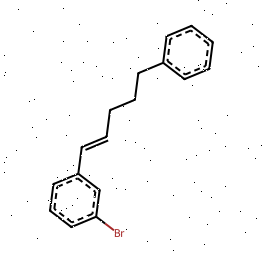 Brc1cccc(C=CCCCc2ccccc2)c1